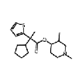 CC1CN(C)CCC1OC(=O)C(C)(c1cccs1)C1CCCC1